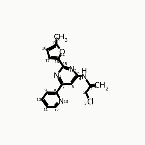 C=C(CCl)Nc1cc(-c2ccccn2)nc(-c2ccc(C)o2)n1